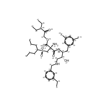 CCCC(CCC)S(=O)(=O)C[C@@](N)(C(=O)N[C@@H](Cc1cc(F)cc(F)c1)[C@H](O)CNCc1cccc(CC)c1)C(=O)OCC(=O)N(CC)CC